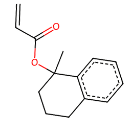 C=CC(=O)OC1(C)CCCc2ccccc21